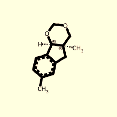 Cc1ccc2c(c1)C[C@]1(C)COCO[C@H]21